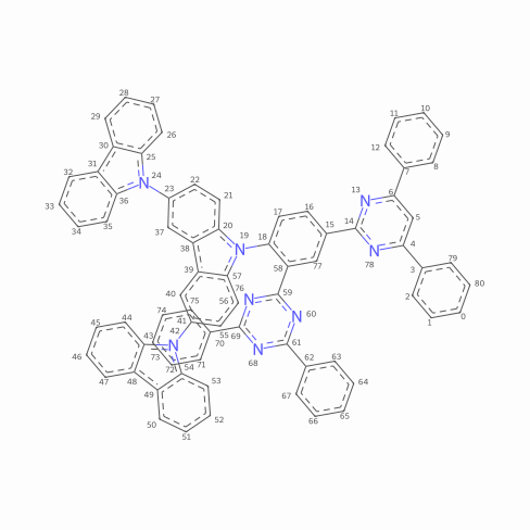 c1ccc(-c2cc(-c3ccccc3)nc(-c3ccc(-n4c5ccc(-n6c7ccccc7c7ccccc76)cc5c5cc(-n6c7ccccc7c7ccccc76)ccc54)c(-c4nc(-c5ccccc5)nc(-c5ccccc5)n4)c3)n2)cc1